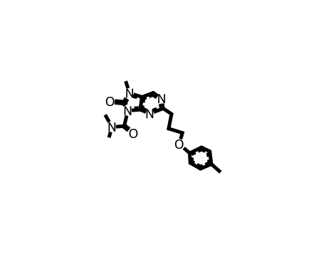 Cc1ccc(OCCCc2ncc3c(n2)n(C(=O)N(C)C)c(=O)n3C)cc1